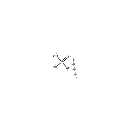 F.F.F.O=P(O)(O)O.[B]